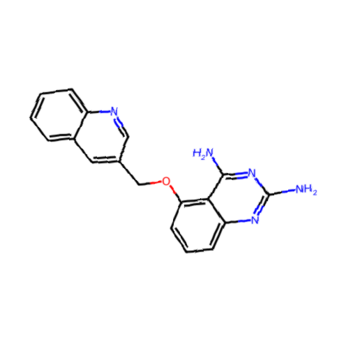 Nc1nc(N)c2c(OCc3cnc4ccccc4c3)cccc2n1